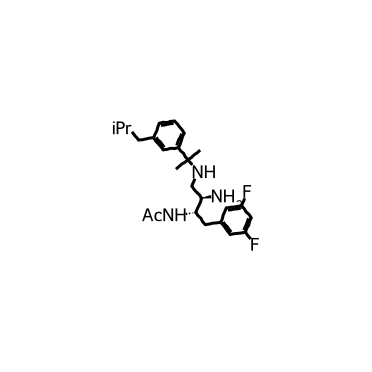 CC(=O)N[C@@H](Cc1cc(F)cc(F)c1)[C@H](N)CNC(C)(C)c1cccc(CC(C)C)c1